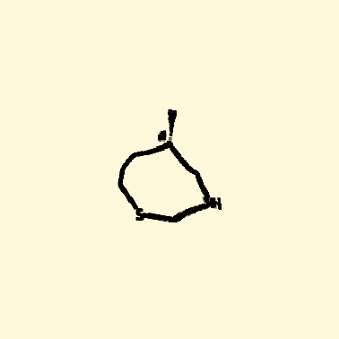 C[C@H]1CCSCNC1